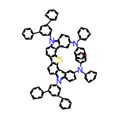 c1ccc(-c2cc(-c3ccccc3)cc(-n3c4ccc(N(c5ccccc5)c5ccccc5)cc4c4c5sc6c(ccc7c6c6cc(N(c8ccccc8)c8ccccc8)ccc6n7-c6cc(-c7ccccc7)cc(-c7ccccc7)c6)c5ccc43)c2)cc1